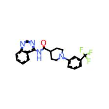 O=C(Nc1ncnc2ccccc12)C1CCN(c2cccc(C(F)(F)F)c2)CC1